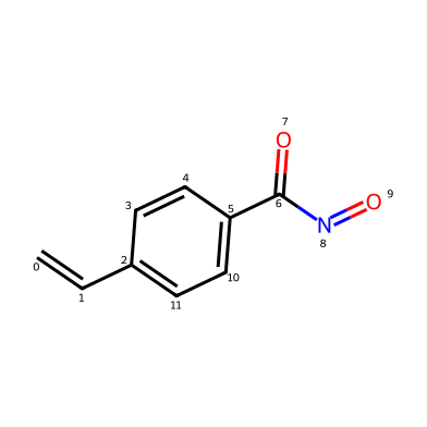 C=Cc1ccc(C(=O)N=O)cc1